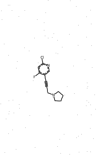 Fc1cc(Cl)ncc1C#CCN1CCCC1